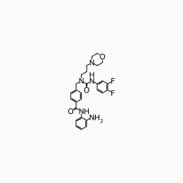 Nc1ccccc1NC(=O)c1ccc(CN(CCCN2CCOCC2)C(=O)Nc2ccc(F)c(F)c2)cc1